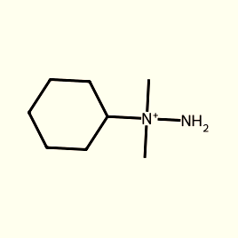 C[N+](C)(N)C1CCCCC1